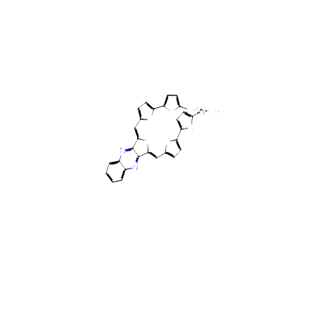 CCCCCCc1ccc(-c2ccc(C=c3sc(=Cc4ccc(-c5ccc(CCCCCC)s5)s4)c4nc5ccccc5nc34)s2)s1